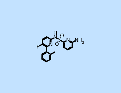 Cc1ccccc1-c1nc(NS(=O)(=O)c2cccc(N)n2)ccc1F